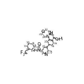 Cc1ncc(NC(=O)c2cccc(C(F)(F)F)c2)cc1-c1ccc2c(c1)N1CCOCC[C@H]1C[C@@H]2O